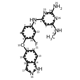 CNc1cc(Nc2ccc(Oc3ccc4[nH]ncc4c3)c(F)c2)nc(N)n1